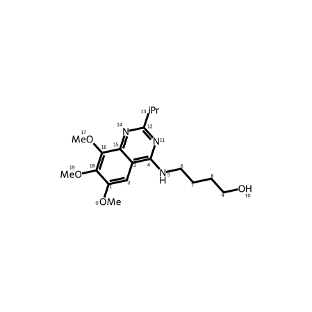 COc1cc2c(NCCCCO)nc(C(C)C)nc2c(OC)c1OC